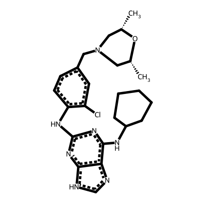 C[C@@H]1CN(Cc2ccc(Nc3nc(NC4CCCCC4)c4nc[nH]c4n3)c(Cl)c2)C[C@H](C)O1